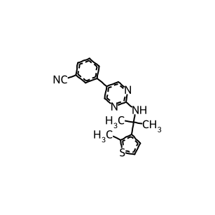 Cc1sccc1C(C)(C)Nc1ncc(-c2cccc(C#N)c2)cn1